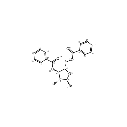 O=C(OC[C@@H]1O[C@@H](Br)[C@H](F)[C@H]1OC(=O)c1ccccc1)c1ccccc1